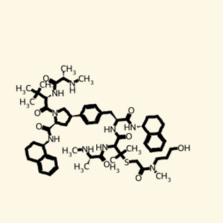 CN[C@@H](C)C(=O)NC(C(=O)N[C@@H](Cc1ccc([C@H]2C[C@@H](C(=O)N[C@@H]3CCCc4ccccc43)N(C(=O)[C@@H](NC(=O)[C@H](C)NC)C(C)(C)C)C2)cc1)C(=O)N[C@@H]1CCCc2ccccc21)C(C)(C)SCC(=O)N(C)CCCO